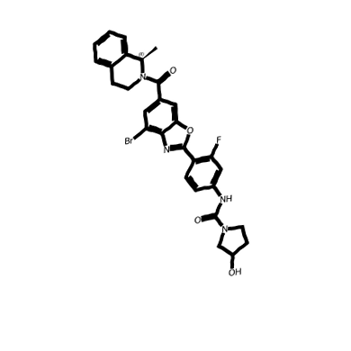 C[C@@H]1c2ccccc2CCN1C(=O)c1cc(Br)c2nc(-c3ccc(NC(=O)N4CCC(O)C4)cc3F)oc2c1